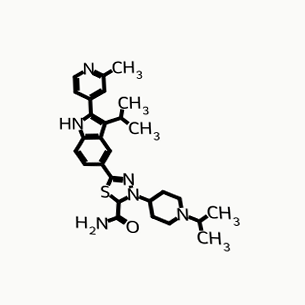 Cc1cc(-c2[nH]c3ccc(C4=NN(C5CCN(C(C)C)CC5)C(C(N)=O)S4)cc3c2C(C)C)ccn1